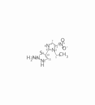 CCn1c([N+](=O)[O-])cnc1C1=CNN(N)S1